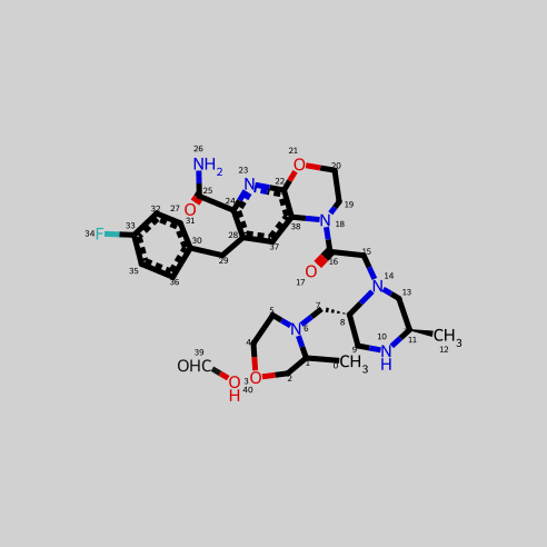 CC1COCCN1C[C@H]1CN[C@H](C)CN1CC(=O)N1CCOc2nc(C(N)=O)c(Cc3ccc(F)cc3)cc21.O=CO